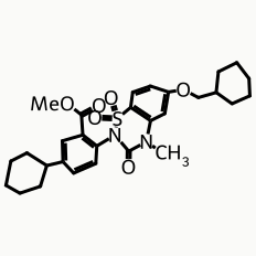 COC(=O)c1cc(C2CCCCC2)ccc1N1C(=O)N(C)c2cc(OCC3CCCCC3)ccc2S1(=O)=O